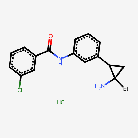 CCC1(N)CC1c1cccc(NC(=O)c2cccc(Cl)c2)c1.Cl